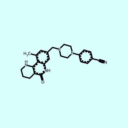 Cc1cc(CN2CCN(c3ccc(C#N)cc3)CC2)cc2[nH]c(=O)c3c(c12)NCCC3